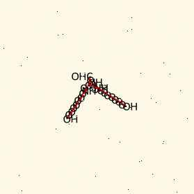 NC(COCCC=O)(COCCC(=O)NCCOCCOCCOCCOCCOCCOCCOCCO)COCCC(=O)NCCOCCOCCOCCOCCOCCOCCOCCO